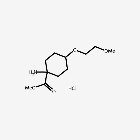 COCCOC1CCC(N)(C(=O)OC)CC1.Cl